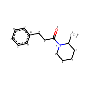 O=C(O)C1CCCCN1C(=O)CCc1ccccc1